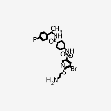 C[C@@H](NC(=O)[C@H]1CC[C@H](NS(=O)(=O)c2cnc(SCCN)c(Br)c2)CC1)c1ccc(F)cc1